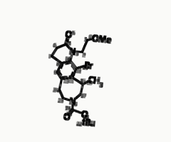 COCCN1C(=O)CCc2cc3c(c(Br)c21)C(C)CN(C(=O)OC(C)(C)C)CC3